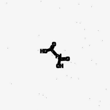 O=[C](O)[Pd][C](=O)O